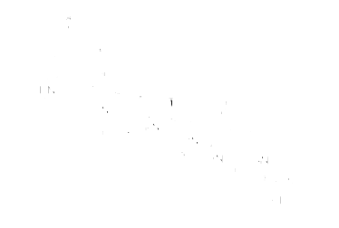 CC[C@H]1CN(c2ncc(NS(C)(=O)=O)cc2Cl)CCN1C1CCN(Cc2ccc(Cl)cc2N)CC1